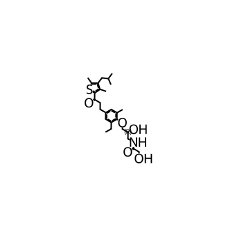 CCc1cc(CCC(=O)c2sc(C)c(CC(C)C)c2C)cc(C)c1OC[C@H](O)CNC(=O)CO